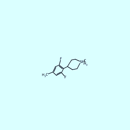 Cc1cc(F)c(C2CC[SiH](C)CC2)c(F)c1